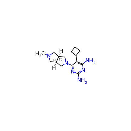 CN1C[C@@H]2CN(c3nc(N)nc(N)c3C3CCC3)C[C@@H]2C1